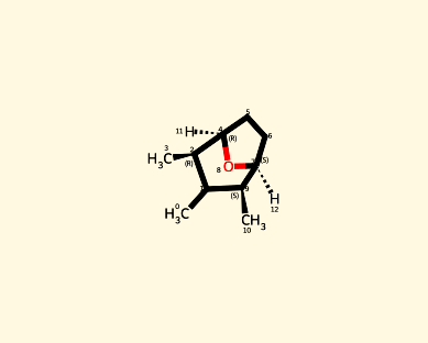 CC1[C@@H](C)[C@H]2CC[C@H](O2)[C@H]1C